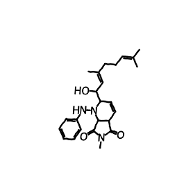 CC(C)=CCC/C(C)=C/C(O)C1C=CC2C(=O)N(C)C(=O)C2N1Nc1ccccc1